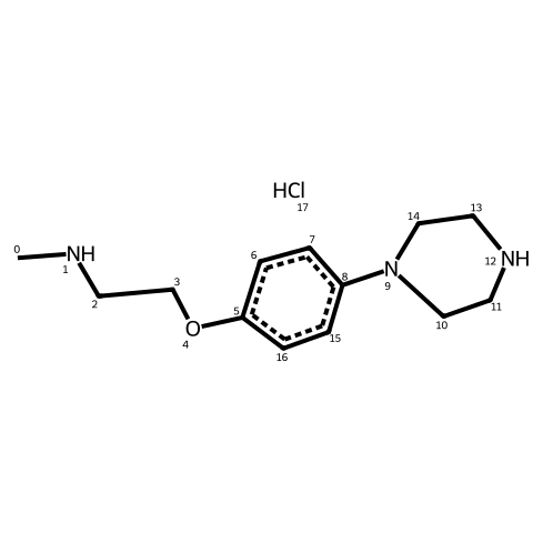 CNCCOc1ccc(N2CCNCC2)cc1.Cl